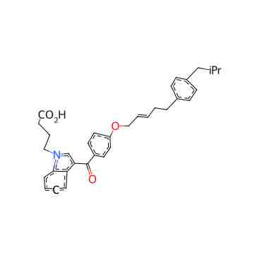 CC(C)Cc1ccc(CCC=CCOc2ccc(C(=O)c3cn(CCCC(=O)O)c4ccccc34)cc2)cc1